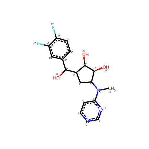 CN(c1ccncn1)C1CC(C(O)c2ccc(F)c(F)c2)[C@@H](O)[C@H]1O